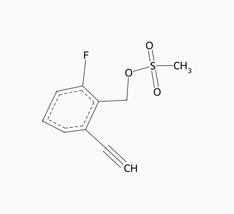 C#Cc1cccc(F)c1COS(C)(=O)=O